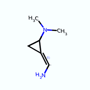 CN(C)C1C/C1=[C]\N